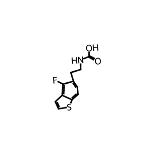 O=C(O)NCCc1ccc2sccc2c1F